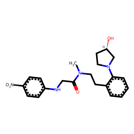 CN(CCc1ccccc1N1CC[C@H](O)C1)C(=O)CNc1ccc([N+](=O)[O-])cc1